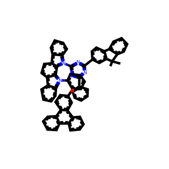 CC1(C)c2ccccc2-c2ccc(-c3nc(-c4ccccc4)nc(-n4c5ccccc5c5ccc6c7ccccc7n(-c7ccccc7-c7ccc8c9ccccc9c9ccccc9c8c7)c6c54)n3)cc21